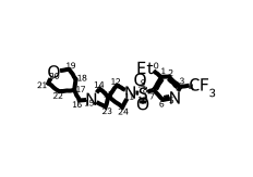 CCc1cc(C(F)(F)F)ncc1S(=O)(=O)N1CC2(CN(CC3CCOCC3)C2)C1